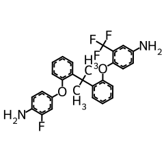 CC(C)(c1ccccc1Oc1ccc(N)c(F)c1)c1ccccc1Oc1ccc(N)cc1C(F)(F)F